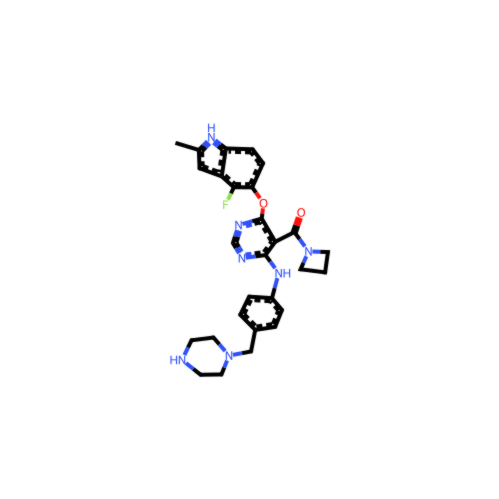 Cc1cc2c(F)c(Oc3ncnc(Nc4ccc(CN5CCNCC5)cc4)c3C(=O)N3CCC3)ccc2[nH]1